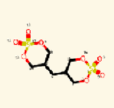 O=S1(=O)OCC(CC2COS(=O)(=O)OC2)CO1